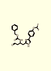 O=CCC(Cc1nc(-c2ccc(OC(F)F)cc2)c[nH]1)NC(=O)OCc1ccccc1